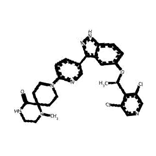 C[C@@H](Oc1ccc2[nH]nc(-c3ccc(N4CCC5(CC4)C(=O)NCCN5C)nc3)c2c1)c1c(Cl)cncc1Cl